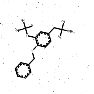 [2H]C([2H])(N)Cc1ccc(OCc2ccccc2)c(OC([2H])([2H])[2H])c1